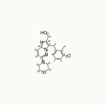 Cc1c(Cl)cccc1Cc1c(CO)nc2ccc(N3CCOCC3)nn12